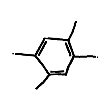 [CH2]c1cc(C)c([CH2])cc1C